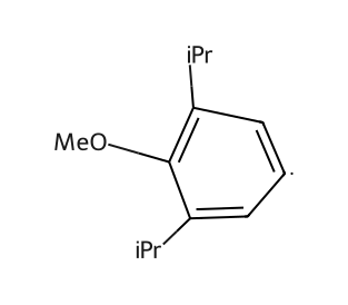 COc1c(C(C)C)c[c]cc1C(C)C